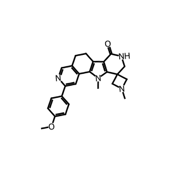 COc1ccc(-c2cc3c(cn2)CCc2c4c(n(C)c2-3)C2(CNC4=O)CN(C)C2)cc1